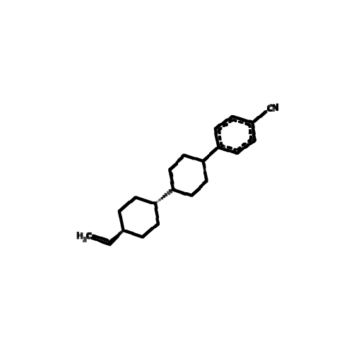 C=C[C@H]1CC[C@H](C2CCC(c3ccc(C#N)cc3)CC2)CC1